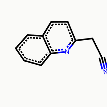 N#CCc1ccc2ccccc2n1